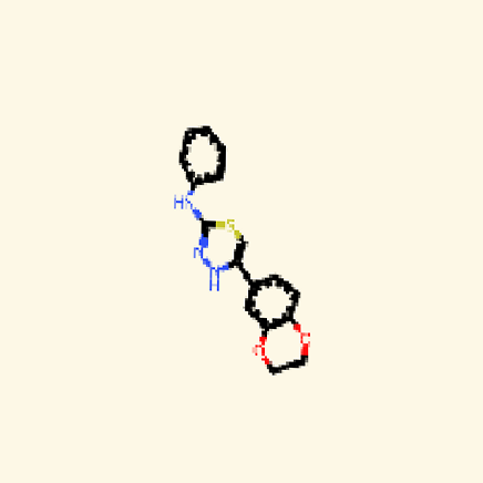 C1=C(c2ccc3c(c2)OCCO3)NN=C(Nc2ccccc2)S1